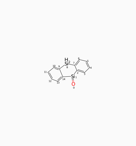 O=[Si]1c2ccccc2[SiH2]c2ccccc21